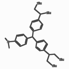 CN(C)c1ccc(C(c2ccc(C(CC(C)(C)C)CC(C)(C)C)cc2)c2ccc(C(CC(C)(C)C)C(C)(C)C)cc2)cc1